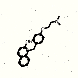 CN(C)CCOc1ccc(Cc2c(O)ccc3ccccc23)cc1